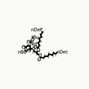 CCCCCCCCCCCCCCCCCC(=O)OCC(COC(=O)C(CC(=O)OCCCC)NC(=O)OC(C)(C)C)OC(=O)CCCCCCCCCCCCCCCCC